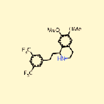 COc1cc2c(cc1OC)C(CCc1cc(C(F)(F)F)cc(C(F)(F)F)c1)NCC2